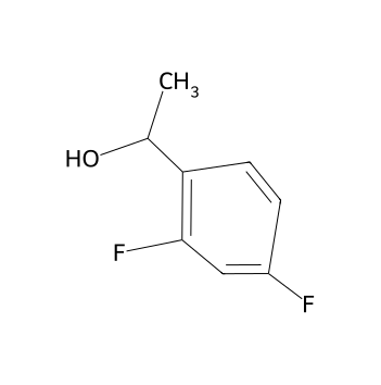 CC(O)c1ccc(F)cc1F